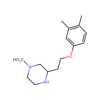 Cc1ccc(OCCC2CN(C(=O)O)CCN2)cc1C